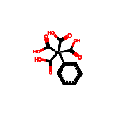 O=[C](O)[Mn]([C](=O)O)([C](=O)O)([C](=O)O)[c]1ccccc1